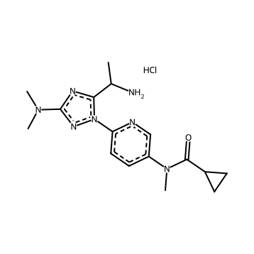 CC(N)c1nc(N(C)C)nn1-c1ccc(N(C)C(=O)C2CC2)cn1.Cl